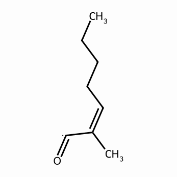 CCCC/C=C(/C)[C]=O